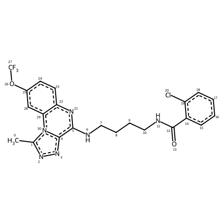 Cc1nnc2c(NCCCCNC(=O)c3ccccc3Cl)nc3ccc(OC(F)(F)F)cc3n12